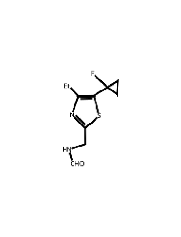 CCc1nc(CNC=O)sc1C1(F)CC1